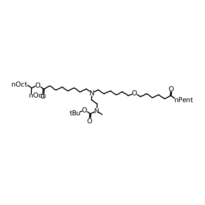 CCCCCCCCC(CCCCCCCC)OC(=O)CCCCCCCN(CCCCCCOCCCCCC(=O)CCCCC)CCN(C)C(=O)OC(C)(C)C